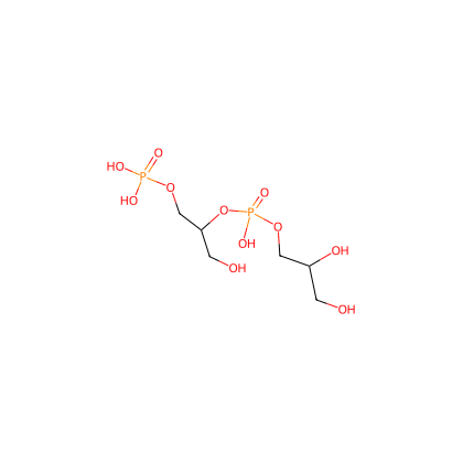 O=P(O)(O)OCC(CO)OP(=O)(O)OCC(O)CO